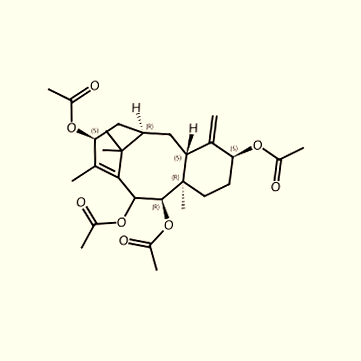 C=C1[C@@H](OC(C)=O)CC[C@]2(C)[C@@H]1C[C@@H]1C[C@H](OC(C)=O)C(C)=C(C(OC(C)=O)[C@@H]2OC(C)=O)C1(C)C